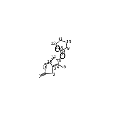 C#CCC1=C(C)C(O[C@H]2CCCCO2)CC1=C